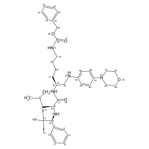 CC(C)C[C@H](N[C@@H](c1ccccc1)C(F)(F)F)C(=O)N[C@@H](CCCCNC(=O)OCc1ccccc1)CNc1ccc(N2CCOCC2)cc1